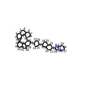 c1cc2ccc3cccc4c5cc(-c6ccc(-c7ccc8cc(-c9cn%10ccccc%10n9)ccc8c7)cc6)cc6ccc7cccc(c(c1)c2c34)c7c65